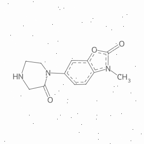 Cn1c(=O)oc2cc(N3CCNCC3=O)ccc21